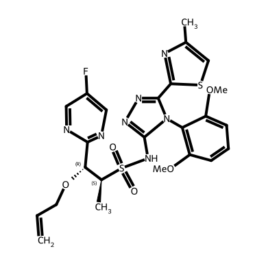 C=CCO[C@H](c1ncc(F)cn1)[C@H](C)S(=O)(=O)Nc1nnc(-c2nc(C)cs2)n1-c1c(OC)cccc1OC